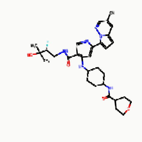 CC(C)(O)[C@H](F)CNC(=O)c1cnc(-c2ccc3cc(C#N)cnn23)cc1NC1CCC(NC(=O)C2CCOCC2)CC1